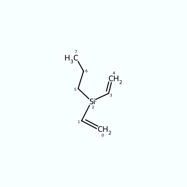 C=C[Si](C=C)CCC